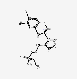 CN=[S@](C)(=O)CCNc1nonc1/C(=N/O)Nc1ccc(F)c(Br)c1